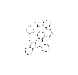 O=P(c1ccccc1)(c1ccccc1)c1cc2c(c3ccccc13)c1ccccc1n1c3ccccc3nc21